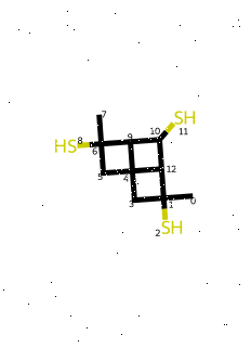 CC1(S)CC23CC(C)(S)C2C(S)C13